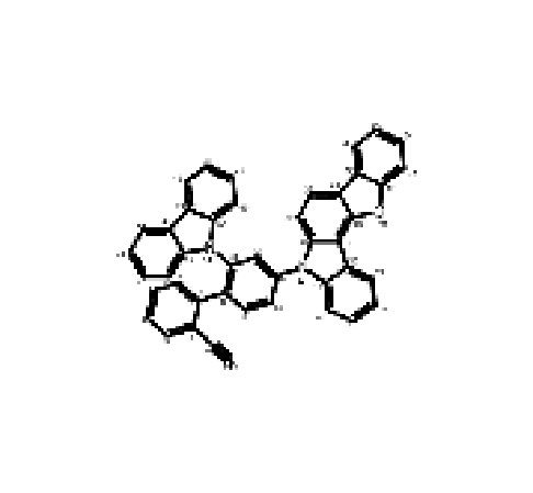 N#Cc1ccccc1-c1ccc(-n2c3ccccc3c3c4oc5ccccc5c4ccc32)cc1-n1c2ccccc2c2ccccc21